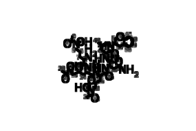 CC(=O)N(O)CCCC(N)C(=O)NC(CCCN(O)C(C)=O)C(=O)NC(CCCN(O)C(C)=O)C(=O)NC(CC(N)=O)C(=O)NC(CC(C)C)C(=O)NC(C=O)Cc1ccccc1